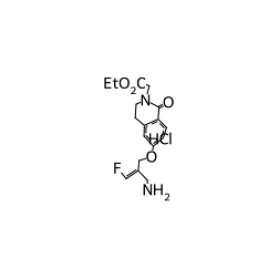 CCOC(=O)CN1CCc2cc(OC/C(=C\F)CN)ccc2C1=O.Cl